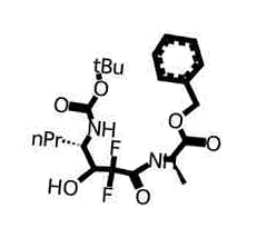 CCC[C@H](NC(=O)OC(C)(C)C)C(O)C(F)(F)C(=O)N[C@H](C)C(=O)OCc1ccccc1